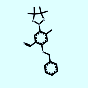 Cc1cc(OCc2ccccc2)c(C=O)cc1B1OC(C)(C)C(C)(C)O1